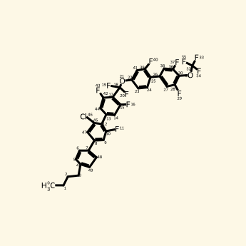 CCCCc1ccc(-c2cc(F)c(-c3cc(F)c(C(F)(F)Oc4ccc(-c5cc(F)c(OC(F)(F)F)c(F)c5)c(F)c4)c(F)c3)c(Cl)c2)cc1